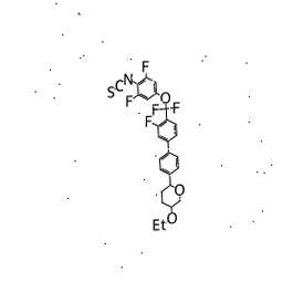 CCOC1CCC(c2ccc(-c3ccc(C(F)(F)Oc4cc(F)c(N=C=S)c(F)c4)c(F)c3)cc2)OC1